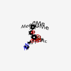 CCCOc1c(OCCCn2ccnc2)cc([C@@H]2CC[C@@H](c3cc(OC)c(OC)c(OC)c3)O2)cc1S(=O)(=O)CC(C)=O